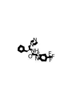 O=C(N[C@@H](Cc1ccccc1)Cn1ccnc1)c1nc2ccc(C(F)(F)F)cc2s1